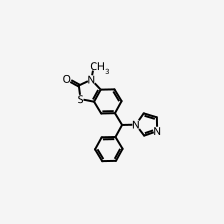 Cn1c(=O)sc2cc(C(c3ccccc3)n3ccnc3)ccc21